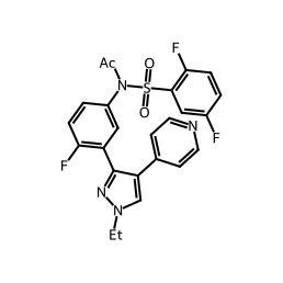 CCn1cc(-c2ccncc2)c(-c2cc(N(C(C)=O)S(=O)(=O)c3cc(F)ccc3F)ccc2F)n1